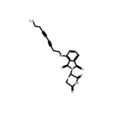 NCCC#CC#CCCNc1cccc2c1C(=O)N(C1CCC(=O)NC1=O)C2=O